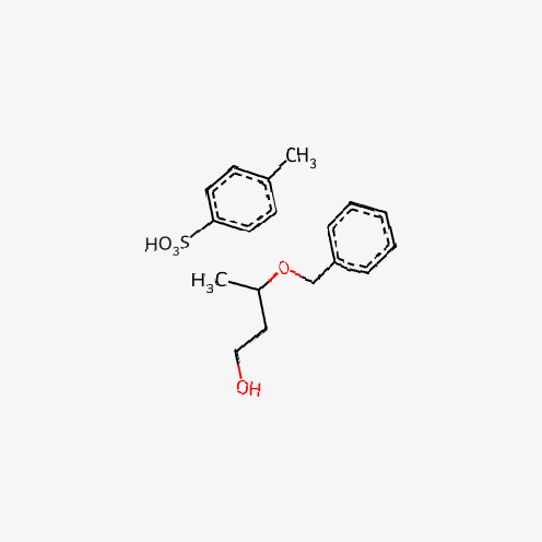 CC(CCO)OCc1ccccc1.Cc1ccc(S(=O)(=O)O)cc1